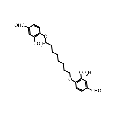 O=Cc1ccc(OCCCCCCCCOc2ccc(C=O)cc2C(=O)O)c(C(=O)O)c1